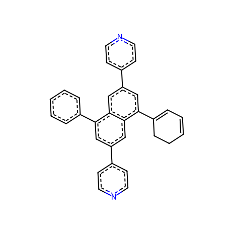 C1=CCCC(c2cc(-c3ccncc3)cc3c(-c4ccccc4)cc(-c4ccncc4)cc23)=C1